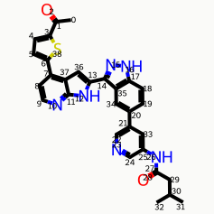 CC(=O)c1ccc(-c2ccnc3[nH]c(-c4n[nH]c5ccc(-c6cncc(NC(=O)CC(C)C)c6)cc45)cc23)s1